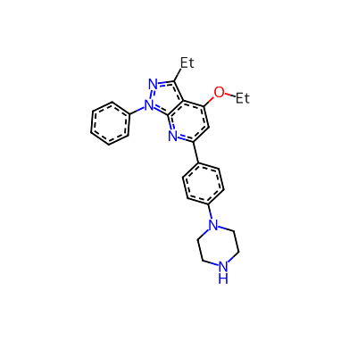 CCOc1cc(-c2ccc(N3CCNCC3)cc2)nc2c1c(CC)nn2-c1ccccc1